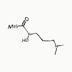 CSC(=O)N(O)CCCN(C)C